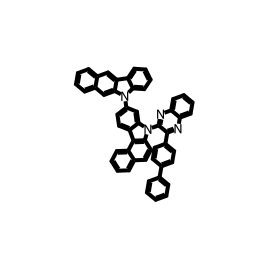 c1ccc(-c2ccc(-c3nc4ccccc4nc3-n3c4cc(-n5c6ccccc6c6cc7ccccc7cc65)ccc4c4c5ccccc5ccc43)cc2)cc1